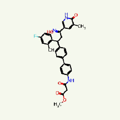 COC(=O)CC(=O)Nc1ccc(-c2ccc(C(C/C(=N\O)c3c[nH]c(=O)c(C)c3)c3ccc(F)cc3C)cc2)cc1